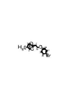 CC12COC(CCOc3ccc(Br)cc3)(OC1)OC2